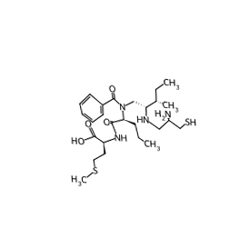 CCC[C@@H](C(=O)N[C@@H](CCSC)C(=O)O)N(C[C@@H](NC[C@@H](N)CS)[C@@H](C)CC)C(=O)c1ccccc1